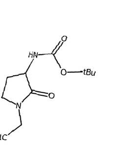 CC(C)(C)OC(=O)NC1CCN(CC#N)C1=O